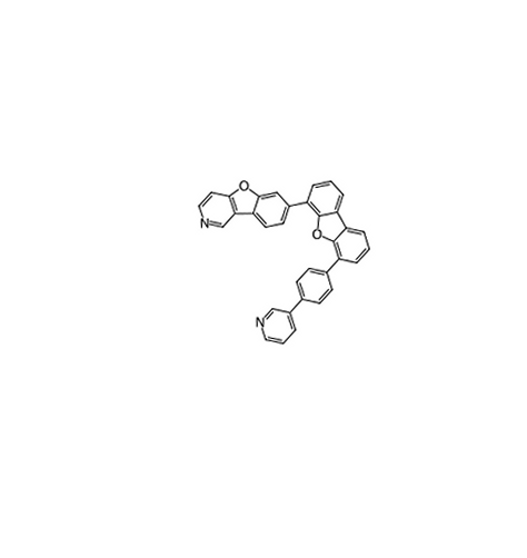 c1cncc(-c2ccc(-c3cccc4c3oc3c(-c5ccc6c(c5)oc5ccncc56)cccc34)cc2)c1